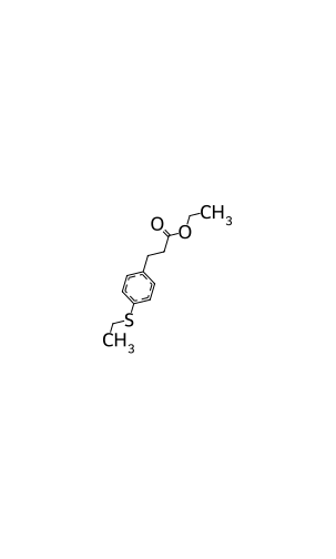 CCOC(=O)CCc1ccc(SCC)cc1